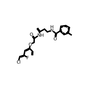 C=C/C(=C\C(F)=C\Cl)OCC(=O)NC(=C)CCNC(=O)c1cccc(C)c1